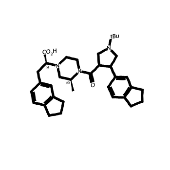 C[C@H]1CN([C@@H](Cc2ccc3c(c2)CCC3)C(=O)O)CCN1C(=O)C1CN(C(C)(C)C)CC1c1ccc2c(c1)CCC2